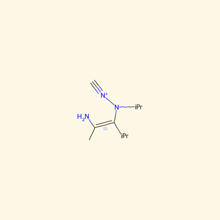 C#[N+]N(/C(=C(/C)N)C(C)C)C(C)C